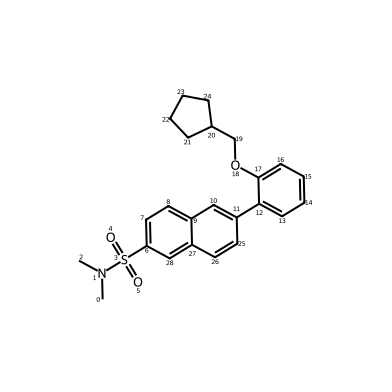 CN(C)S(=O)(=O)c1ccc2cc(-c3ccccc3OCC3CCCC3)ccc2c1